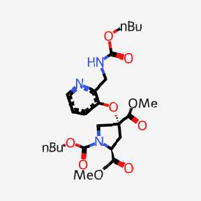 CCCCOC(=O)NCc1ncccc1O[C@]1(C(=O)OC)C[C@@H](C(=O)OC)N(C(=O)OCCCC)C1